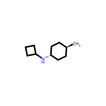 C[C@H]1CC[C@H](NC2CCC2)CC1